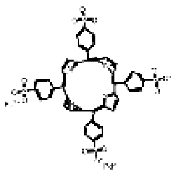 O=S(=O)([O-])c1ccc(-c2c3nc(c(-c4ccc(S(=O)(=O)[O-])cc4)c4ccc([nH]4)c(-c4ccc(S(=O)(=O)[O-])cc4)c4nc(c(-c5ccc(S(=O)(=O)[O-])cc5)c5ccc2[nH]5)C=C4)C=C3)cc1.[Pd+2].[Pd+2]